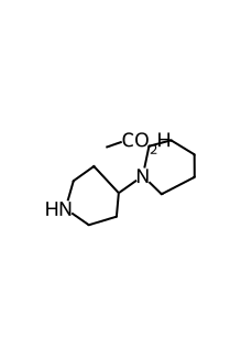 C1CCN(C2CCNCC2)CC1.CC(=O)O